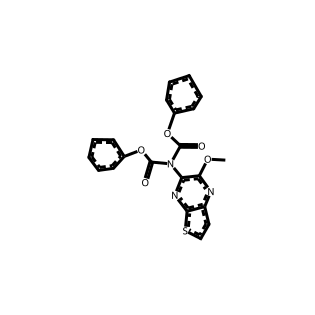 COc1nc2ccsc2nc1N(C(=O)Oc1ccccc1)C(=O)Oc1ccccc1